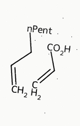 C=CC(=O)O.C=CCCCCCC